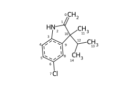 C=C1Nc2ccc(Cl)cc2C1(C)C(C)C